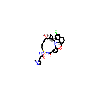 CO[C@H]1/C=C/CCC[S@@](=O)(NC(=O)Cc2ccnn2C)=NC(=O)c2ccc3c(c2)N(C[C@@H]2CC[C@H]21)C[C@@]1(CCCc2cc(Cl)ccc21)CO3